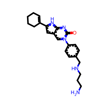 NCCCNCc1ccc(-n2cc3cc(C4=CCCCC4)[nH]c3nc2=O)cc1